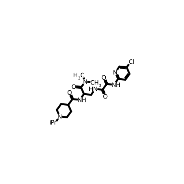 CC(C)N1CCC(C(=O)NC(CNC(=O)C(=O)Nc2ccc(Cl)cn2)C(=O)N(C)C)CC1